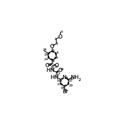 COCCOc1ccc(S(=O)(=O)NC(=O)Nc2cc(Br)cc(N)n2)cc1C